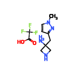 Cn1ccc(CC2(N)CNC2)n1.O=C(O)C(F)(F)F